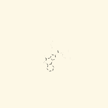 CCCCOc1c(C(=O)N(C)OC)sc2c1c(=O)n(C)c1ccccc21